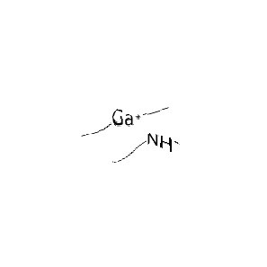 C[NH-].[CH3][Ga+][CH3]